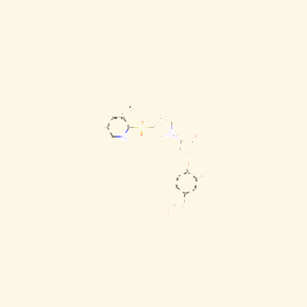 O=S(=O)(c1ncccc1C(F)(F)F)C1CCN(C(O)COc2ccc(CO)cc2)C1